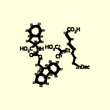 CCC(Cl)C(=O)O.CCCCCCCCCCCCCC=CC=CC(=O)O.O=C(NC1(C(=O)O)Cc2ccccc2C1)OCC1c2ccccc2-c2ccccc21